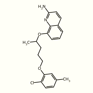 Cc1ccc(Cl)c(OCCCC(C)Oc2cccc3ccc(N)nc23)c1